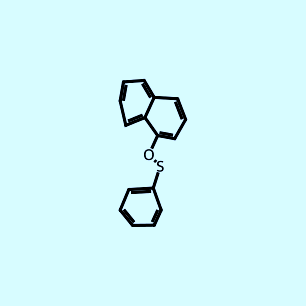 c1ccc(SOc2cccc3ccccc23)cc1